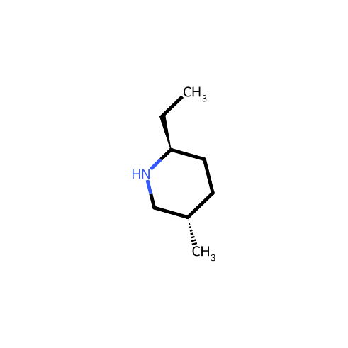 CC[C@H]1CC[C@H](C)CN1